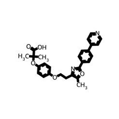 Cc1oc(-c2ccc(-c3ccncc3)cc2)nc1CCOc1ccc(OC(C)(C)C(=O)O)cc1